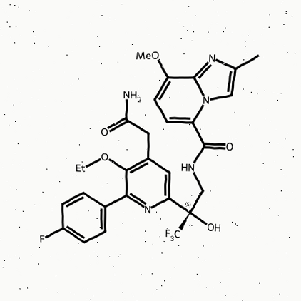 CCOc1c(CC(N)=O)cc([C@@](O)(CNC(=O)c2ccc(OC)c3nc(C)cn23)C(F)(F)F)nc1-c1ccc(F)cc1